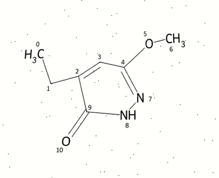 CCc1cc(OC)n[nH]c1=O